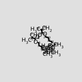 C=C(C)C(=O)OCCCC[Si](C)(C)O[Si](C)(C)O[Si](C)(C)CCCCOC(=O)C(=C)C